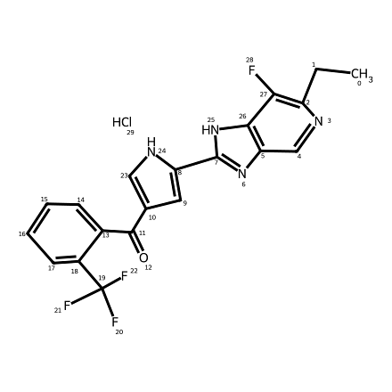 CCc1ncc2nc(-c3cc(C(=O)c4ccccc4C(F)(F)F)c[nH]3)[nH]c2c1F.Cl